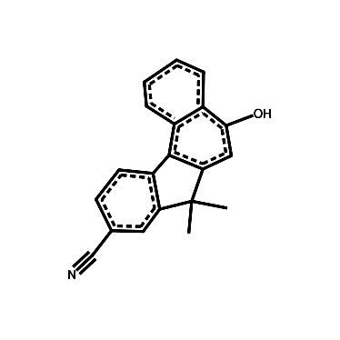 CC1(C)c2cc(C#N)ccc2-c2c1cc(O)c1ccccc21